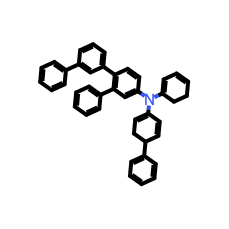 C1=CCCC(N(C2=CCC(c3ccccc3)C=C2)c2ccc(-c3cccc(-c4ccccc4)c3)c(-c3ccccc3)c2)=C1